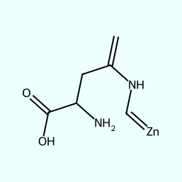 C=C(CC(N)C(=O)O)N[CH]=[Zn]